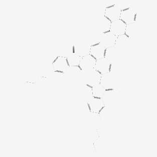 CCCCSc1ccc2c(c1)C(=O)C(c1ccc3c(CN4C(=O)c5cccc6cccc(c56)C4=O)ccc(N4C(=O)c5ccc(SCCCC)cc5C4=O)c3n1)C2=O